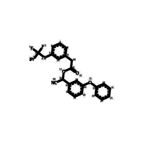 CC(C)C(F)(F)Sc1cccc(CC(=O)OC(C#N)c2cccc(Oc3ccccc3)c2)c1